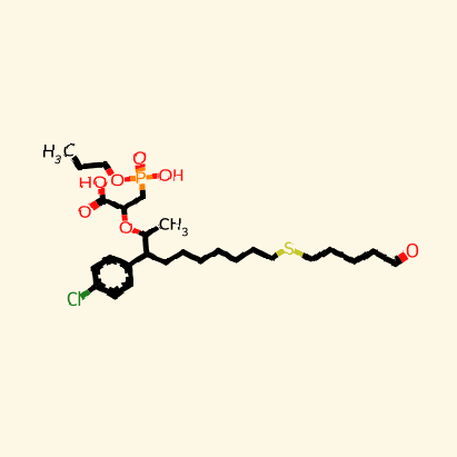 CCCOP(=O)(O)CC(OC(C)C(CCCCCCCSCCCCC=O)c1ccc(Cl)cc1)C(=O)O